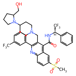 CS(=O)(=O)c1ccc2nc(-c3cccc(C(F)(F)F)c3)c(CN3CCC(N4CCCC4CO)CC3)c(C(=O)N[C@H](c3ccccc3)C(F)(F)F)c2c1